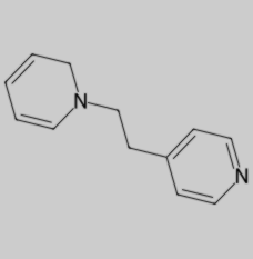 C1=CCN(CCc2ccncc2)C=C1